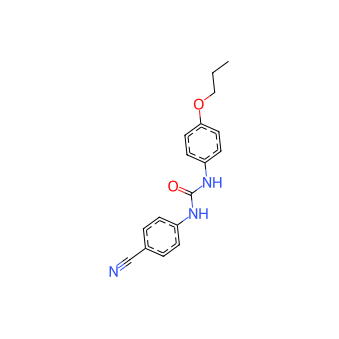 CCCOc1ccc(NC(=O)Nc2ccc(C#N)cc2)cc1